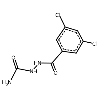 NC(=O)NNC(=O)c1cc(Cl)cc(Cl)c1